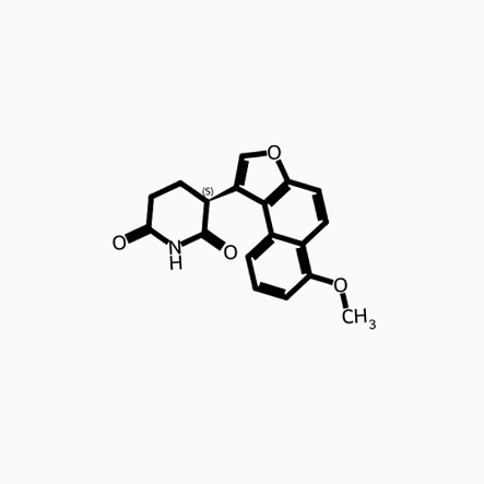 COc1cccc2c1ccc1occ([C@@H]3CCC(=O)NC3=O)c12